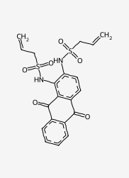 C=CCS(=O)(=O)Nc1ccc2c(c1NS(=O)(=O)CC=C)C(=O)c1ccccc1C2=O